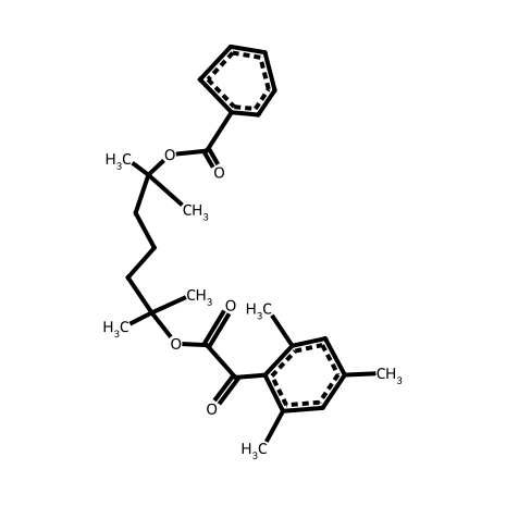 Cc1cc(C)c(C(=O)C(=O)OC(C)(C)CCCC(C)(C)OC(=O)c2ccccc2)c(C)c1